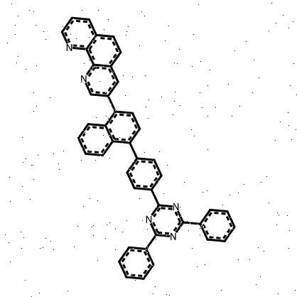 c1ccc(-c2nc(-c3ccccc3)nc(-c3ccc(-c4ccc(-c5cnc6c(ccc7cccnc76)c5)c5ccccc45)cc3)n2)cc1